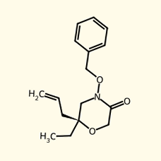 C=CC[C@@]1(CC)CN(OCc2ccccc2)C(=O)CO1